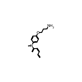 C=C/C=C\C(=C)N(C)c1ccc(OCCCN)cc1